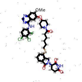 COc1cc2ncnc(Nc3ccc(Cl)c(Cl)c3F)c2cc1OC1CCN(C(=O)CCCCCSc2cccc3c2CN(C2CCC(=O)NC2=O)C3=O)CC1